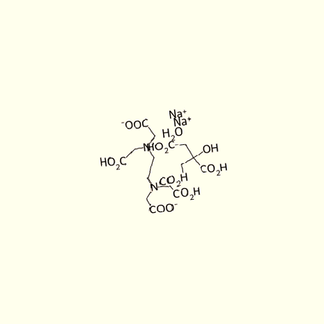 O.O=C(O)CC(O)(CC(=O)O)C(=O)O.O=C([O-])CN(CCN(CC(=O)[O-])CC(=O)O)CC(=O)O.[Na+].[Na+]